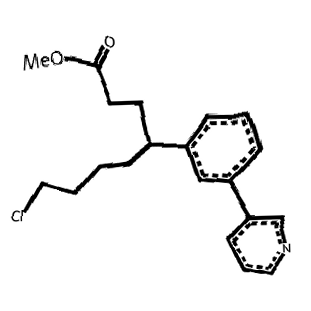 COC(=O)CCC(CCCCCl)c1cccc(-c2cccnc2)c1